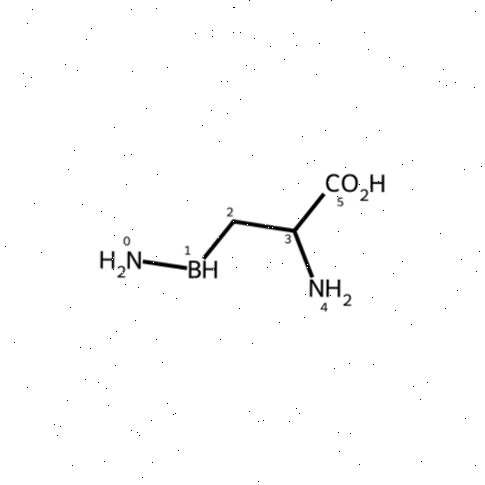 NBCC(N)C(=O)O